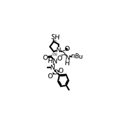 CCCCNS(=O)(=O)N1C[C@H](S)C[C@H]1C(=O)NN(C)S(=O)(=O)c1ccc(C)cc1